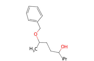 CC(CCC(O)C(C)C)OCc1ccccc1